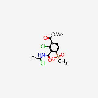 COC(=O)c1ccc(S(C)(=O)=O)c(C(=O)NC(Cl)C(C)C)c1Cl